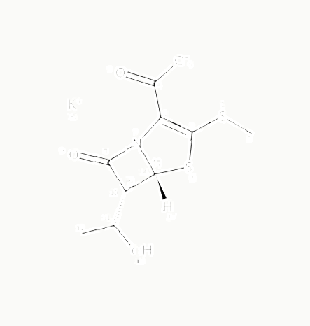 CSC1=C(C(=O)[O-])N2C(=O)[C@@H](C(C)O)[C@H]2S1.[K+]